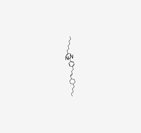 CCCCCCCc1cnc(-c2ccc(CCC=CC3CCC(CCCCC)CC3)cc2)nc1